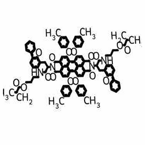 C=C(C)C(=O)OCCCCNC(=O)C(Cc1cccc2c1oc1ccccc12)N1C(=O)c2cc(Oc3ccc(C)cc3)c3c4c(Oc5ccc(C)cc5)cc5c6c(cc(Oc7ccc(C)cc7)c(c7c(Oc8ccc(C)cc8)cc(c2c37)C1=O)c64)C(=O)N(C(Cc1cccc2c1oc1ccccc12)C(=O)NCCCCOC(=O)C(=C)C)C5=O